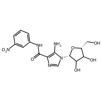 Nc1c(C(=O)Nc2cccc([N+](=O)[O-])c2)ncn1[C@@H]1O[C@H](CO)C(O)C1O